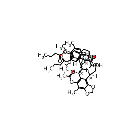 CCCC(=O)Oc1cc2c(cc1OC)[C@@]1(CS[C@@H]3c4c(OC(C)=O)c(C)c5c(c4[C@H](COC1=O)N1C3[C@H]3c4c(cc(C)c(OC)c4OC(=O)CCC)C[C@@H]([C@@H]1O)N3C)OCO5)NCC2